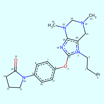 CC(C)CCn1c(Oc2ccc(N3CCCC3=O)cc2)nc2c1CN(C)CN2C